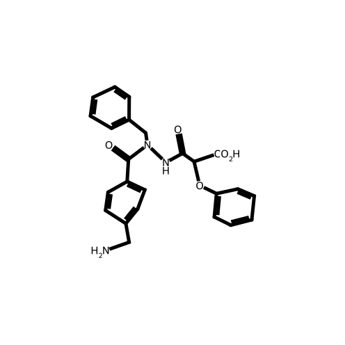 NCc1ccc(C(=O)N(Cc2ccccc2)NC(=O)C(Oc2ccccc2)C(=O)O)cc1